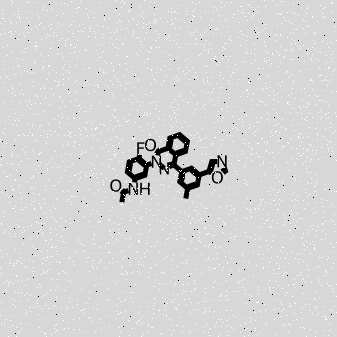 CC(=O)Nc1ccc(F)c(-n2nc(-c3cc(C)cc(-c4cnco4)c3)c3ccccc3c2=O)c1